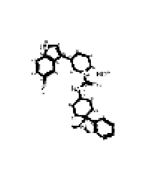 CN(C)C1(c2ccccc2)CCC(NC(=O)N2CCCC(c3c[nH]c4ccc(F)cc34)C2)CC1.Cl